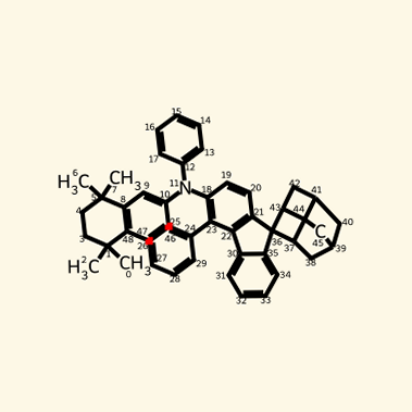 CC1(C)CCC(C)(C)c2cc(N(c3ccccc3)c3ccc4c(c3-c3ccccc3)-c3ccccc3C43C4CC5CC6CC3C64C5)ccc21